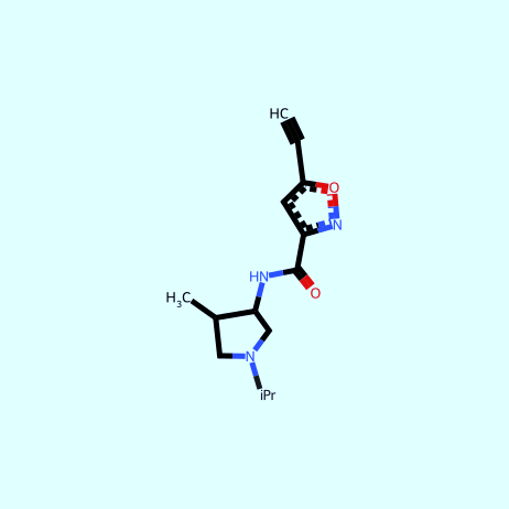 C#Cc1cc(C(=O)NC2CN(C(C)C)CC2C)no1